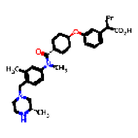 Cc1cc(N(C)C(=O)[C@H]2CC[C@H](Oc3cccc(C(C(=O)O)C(C)C)c3)CC2)ccc1CN1CCN[C@@H](C)C1